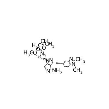 CCn1c(C)nc2cc(C#Cc3nn([C@H]4C[C@H](COC)N(C(=O)OC(C)(C)C)C4)c4ccnc(N)c34)ccc21